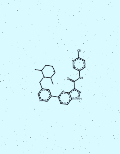 CC1CCCC(C)N1Cc1cncc(-c2ccc3[nH]nc(C(=O)Nc4ccc(C#N)nc4)c3c2)c1